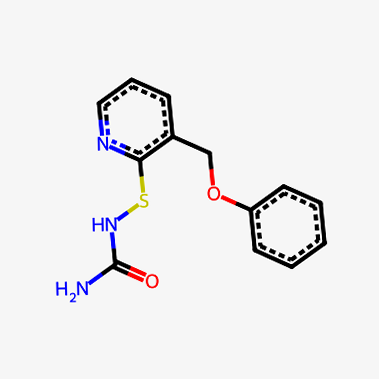 NC(=O)NSc1ncccc1COc1ccccc1